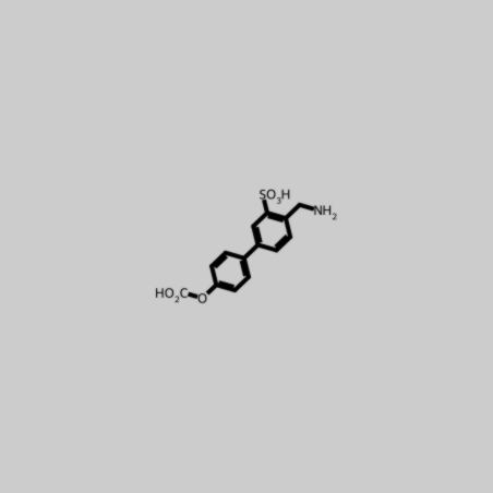 NCc1ccc(-c2ccc(OC(=O)O)cc2)cc1S(=O)(=O)O